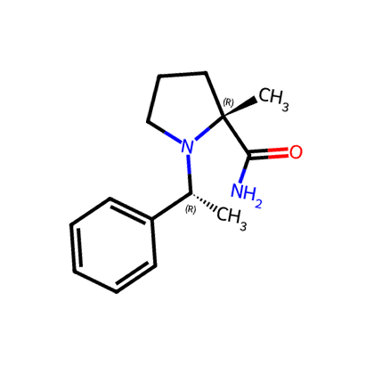 C[C@H](c1ccccc1)N1CCC[C@]1(C)C(N)=O